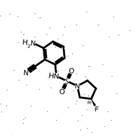 N#Cc1c(N)cccc1NS(=O)(=O)N1CC[C@@H](F)C1